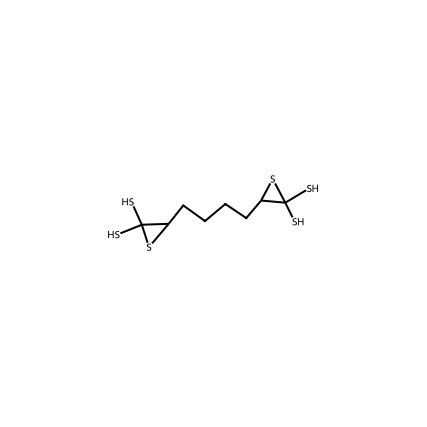 SC1(S)SC1CCCCC1SC1(S)S